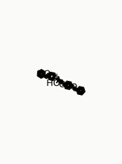 O[C@H](COc1ccc(OCc2ccccc2)cc1)CN1CCC(O)(Cc2ccccc2)CC1